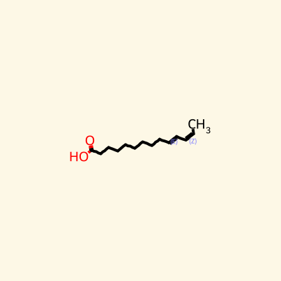 C/C=C\C=C\CCCCCCCCC(=O)O